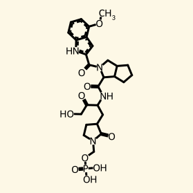 COc1cccc2[nH]c(C(=O)N3CC4CCCC4C3C(=O)NC(CC3CCN(COP(=O)(O)O)C3=O)C(=O)CO)cc12